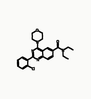 CCN(CC)C(=O)c1ccc2nc(-c3ccccc3Cl)nc(N3CCOCC3)c2c1